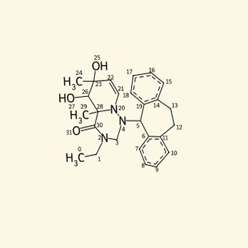 CCN1CN(C2c3ccccc3CCc3ccccc32)N2C=CC(C)(O)C(O)C2(C)C1=O